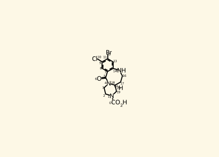 O=C(O)N1CCN2C(=O)c3cc(Cl)c(Br)cc3NCC[C@H]2C1